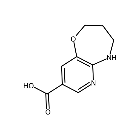 O=C(O)c1cnc2c(c1)OCCCN2